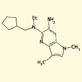 CCN(CC1CCCC1)c1nc2c(C)cn(C)c2cc1N